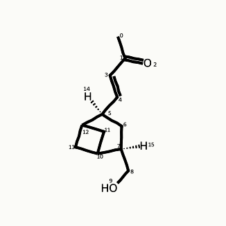 CC(=O)/C=C/[C@H]1C[C@@H](CO)C2CC1C2